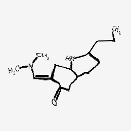 CCCC1CCC2CC(=O)/C(=C/N(C)C)CC2N1